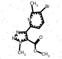 COC(=O)c1c(-c2ccc(Br)c(C)n2)nnn1C